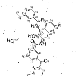 CCCC(CCC)C(=O)c1cc(C)cc(C(=O)N[C@@H](Cc2cc(F)cc(F)c2)[C@H](O)CNCc2cccc(CC)c2)c1.Cl